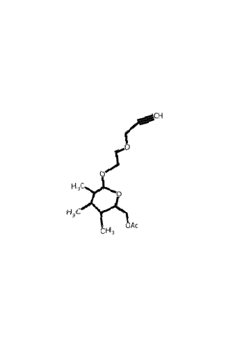 C#CCOCCOC1OC(COC(C)=O)C(C)C(C)C1C